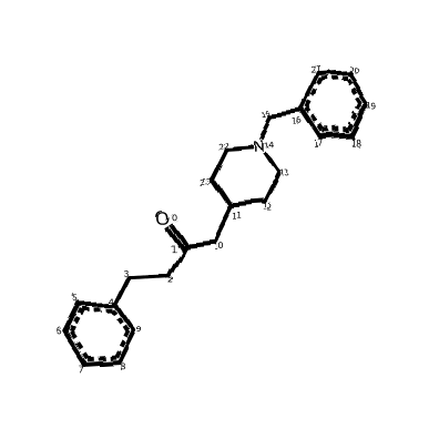 O=C(CCc1ccccc1)CC1CCN(Cc2ccccc2)CC1